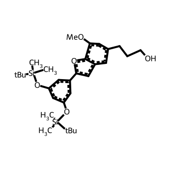 COc1cc(CCCO)cc2cc(-c3cc(O[Si](C)(C)C(C)(C)C)cc(O[Si](C)(C)C(C)(C)C)c3)oc12